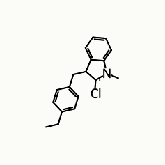 CCc1ccc(CC2[C](Cl)N(C)c3ccccc32)cc1